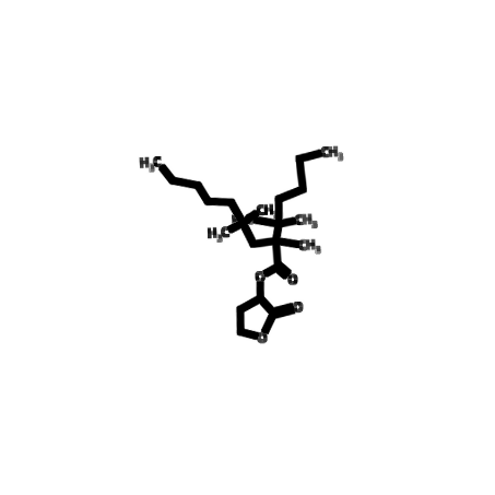 CCCCCC(C)(C)CC(C)(C(=O)OC1CCOC1=O)C(C)(C)CCCC